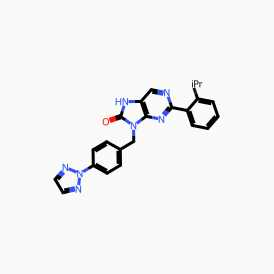 CC(C)c1ccccc1-c1ncc2[nH]c(=O)n(Cc3ccc(-n4nccn4)cc3)c2n1